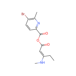 CC/C(=C\C(=O)OC(=O)c1ccc(Br)c(C)n1)NC